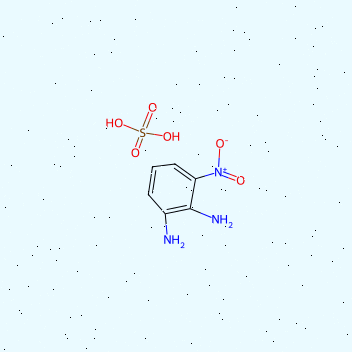 Nc1cccc([N+](=O)[O-])c1N.O=S(=O)(O)O